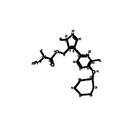 CCCN(C)C(=O)OCc1c(-c2ccc(OC3CCCCC3)c(C)n2)cnn1C